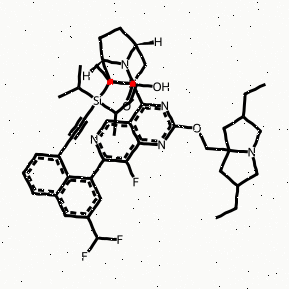 CCC1CN2CC(CC)CC2(COc2nc(N3C[C@H]4CC[C@@H](C3)N4C(=O)O)c3cnc(-c4cc(C(F)F)cc5cccc(C#C[Si](C(C)C)(C(C)C)C(C)C)c45)c(F)c3n2)C1